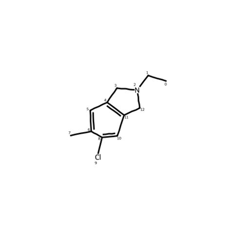 CCN1Cc2cc(C)c(Cl)cc2C1